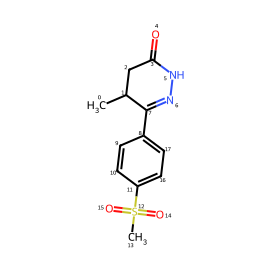 CC1CC(=O)NN=C1c1ccc(S(C)(=O)=O)cc1